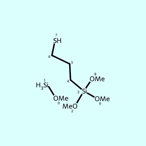 CO[SiH3].CO[Si](CCCS)(OC)OC